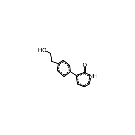 O=c1[nH]cccc1-c1ccc(CCO)cc1